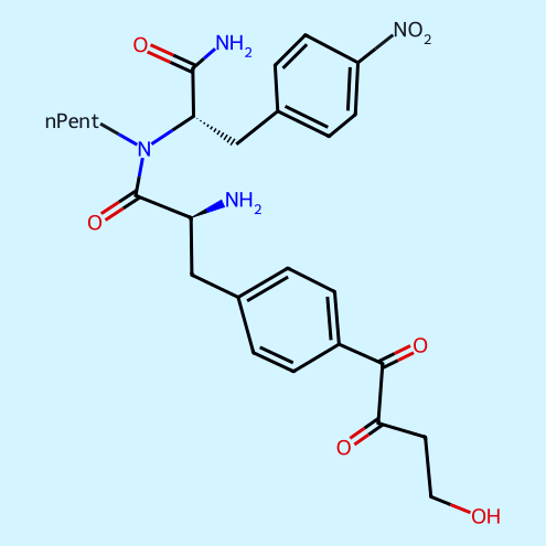 CCCCCN(C(=O)[C@@H](N)Cc1ccc(C(=O)C(=O)CCO)cc1)[C@@H](Cc1ccc([N+](=O)[O-])cc1)C(N)=O